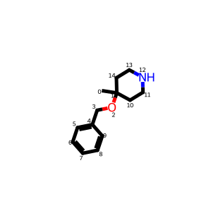 CC1(OCc2ccccc2)CCNCC1